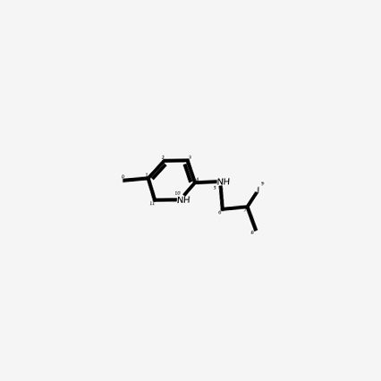 CC1=CC=C(NCC(C)I)NC1